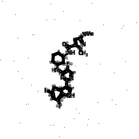 CNc1cc(C(=O)N[C@@H]2CCC[C@H](Nc3nc(-c4c[nH]c5c(F)cc(F)cc45)ncc3F)C2)n(C)n1